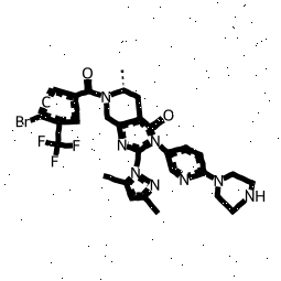 Cc1cc(C)n(-c2nc3c(c(=O)n2-c2ccc(N4CCNCC4)nc2)C[C@@H](C)N(C(=O)c2ccc(Br)c(C(F)(F)F)c2)C3)n1